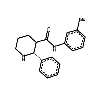 CC(C)(C)c1cccc(NC(=O)C2CCCN[C@H]2c2ccccc2)c1